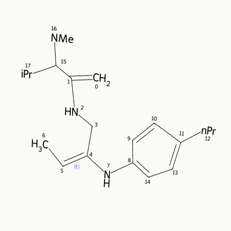 C=C(NC/C(=C\C)Nc1ccc(CCC)cc1)C(NC)C(C)C